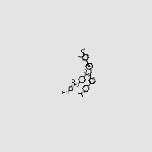 COc1ccc(C23CCC(CN(C(=O)C4CCC(OC(=O)N5CC(O)C5)CC4)c4cc(C5CCN(C(C)C)CC5)ccn4)(CC2)CC3)cc1C